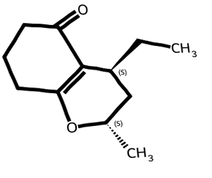 CC[C@H]1C[C@H](C)OC2=C1C(=O)CCC2